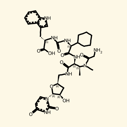 C[C@@H]([C@H](NC(=O)[C@@H](NC(=O)N[C@@H](Cc1c[nH]c2ccccc12)C(=O)O)C1CCCCC1)C(=O)NC[C@H]1C[C@@H](O)[C@H](n2ccc(=O)[nH]c2=O)O1)N(C)C(=O)CN